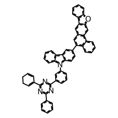 C1=CC(c2nc(-c3ccccc3)nc(-c3cccc(-n4c5ccccc5c5cc(-c6cc7cc8c(cc7c7ccccc67)oc6ccccc68)ccc54)c3)n2)=CCC1